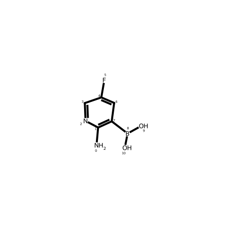 Nc1ncc(F)cc1B(O)O